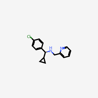 Clc1ccc([C@@H](NCc2ccccn2)C2CC2)cc1